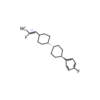 N#C/C(F)=C/C1CCC([C@H]2CC[C@H](c3ccc(F)cc3)CC2)CC1